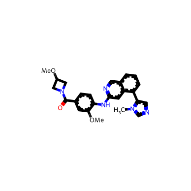 COc1cc(C(=O)N2CC(OC)C2)ccc1Nc1cc2c(-c3cncn3C)cccc2cn1